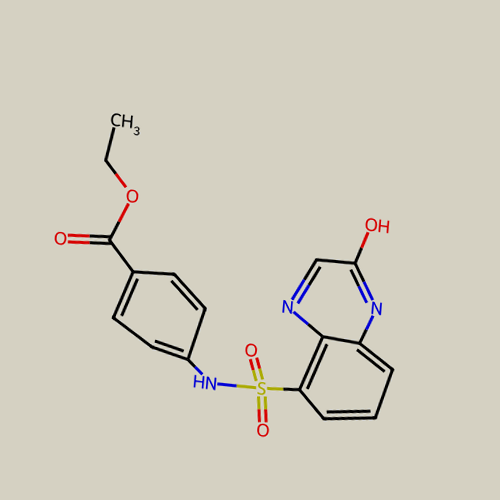 CCOC(=O)c1ccc(NS(=O)(=O)c2cccc3nc(O)cnc23)cc1